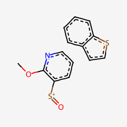 COc1ncccc1[S+]=O.c1ccc2sccc2c1